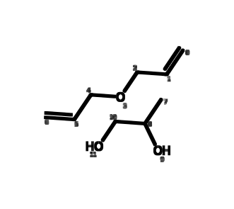 C=CCOCC=C.CC(O)CO